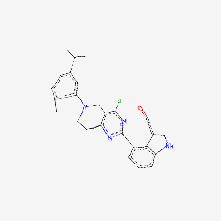 Cc1ccc(C(C)C)cc1N1CCc2nc(-c3cccc4c3C(=C=O)CN4)nc(Cl)c2C1